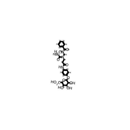 CCCCC(=O)N(CCC(=O)Nc1ccc(OC2OC(C(=O)O)C(O)C(O)C2O)cc1)CN(C)C(=O)c1ccccc1